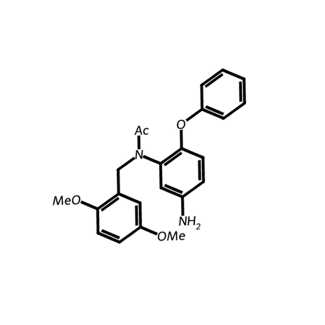 COc1ccc(OC)c(CN(C(C)=O)c2cc(N)ccc2Oc2ccccc2)c1